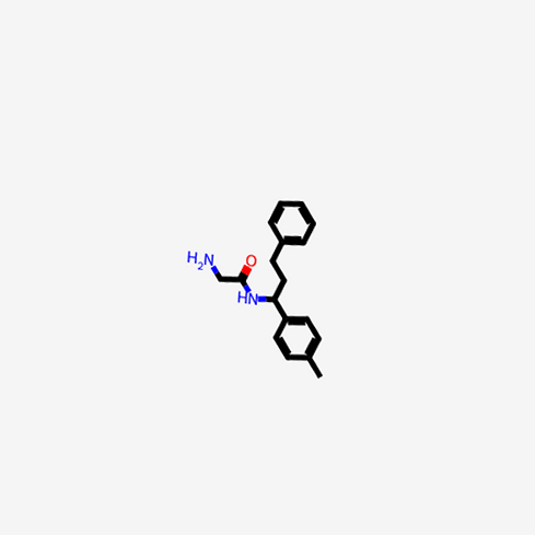 Cc1ccc(C(CCc2ccccc2)NC(=O)CN)cc1